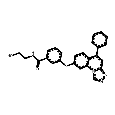 O=C(NCCO)c1cccc(Sc2ccc3c(-c4ccccc4)cc4nncn4c3c2)c1